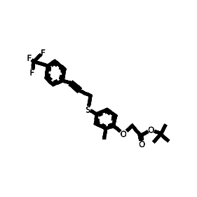 Cc1cc(SCC#Cc2ccc(C(F)(F)F)cc2)ccc1OCC(=O)OC(C)(C)C